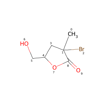 CC1(Br)CC(CO)OC1=O